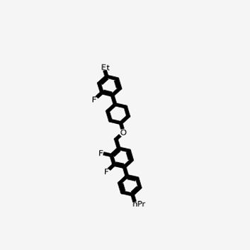 CCCc1ccc(-c2ccc(COC3CCC(c4ccc(CC)cc4F)CC3)c(F)c2F)cc1